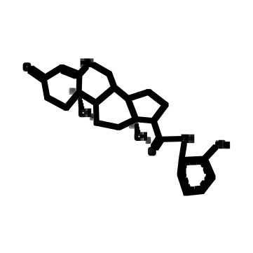 CC(C)(C)c1ccccc1NC(=O)C1CCC2C3CNC4=CC(=O)CC[C@]4(C)C3CC[C@]12C